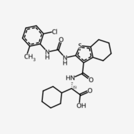 Cc1cccc(Cl)c1NC(=O)Nc1sc2c(c1C(=O)N[C@H](C(=O)O)C1CCCCC1)CCCC2